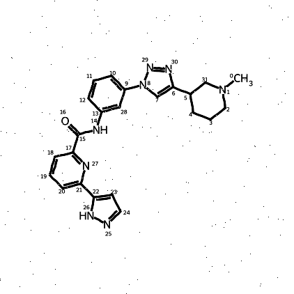 CN1CCCC(c2cn(-c3cccc(NC(=O)c4cccc(-c5ccn[nH]5)n4)c3)nn2)C1